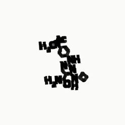 CC(=O)N(C)c1ccc(Nc2ncc(C(N)=O)c(NC3CCC3)n2)cc1